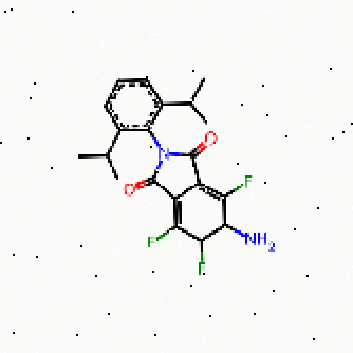 CC(C)c1cccc(C(C)C)c1N1C(=O)C2=C(F)C(N)C(F)C(F)=C2C1=O